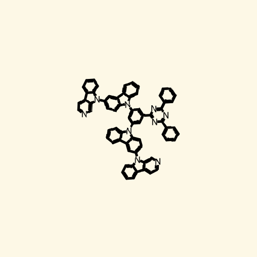 c1ccc(-c2nc(-c3ccccc3)nc(-c3cc(-n4c5ccccc5c5cc(-n6c7ccccc7c7ccncc76)ccc54)cc(-n4c5ccccc5c5cc(-n6c7ccccc7c7ccncc76)ccc54)c3)n2)cc1